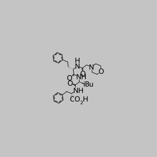 CCC(C)[C@H](NC(=O)[C@H](CCc1ccccc1)NC(=O)CN1CCOCC1)C(=O)N[C@@H](Cc1ccccc1)C(=O)O